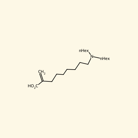 C=C(CCCCCCCN(CCCCCC)CCCCCC)C(=O)O